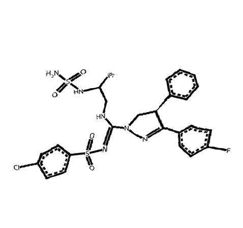 CC(C)C(CN/C(=N\S(=O)(=O)c1ccc(Cl)cc1)N1C[C@@H](c2ccccc2)C(c2ccc(F)cc2)=N1)NS(N)(=O)=O